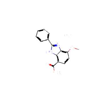 COc1ccc(C(=O)O)c2[nH]c(-c3ccccc3)nc12.Cl